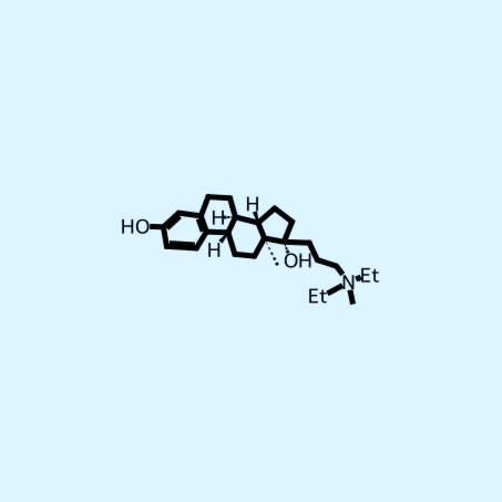 CC[N+](C)(CC)CCC[C@]1(O)CC[C@H]2[C@@H]3CCc4cc(O)ccc4[C@H]3CC[C@@]21C